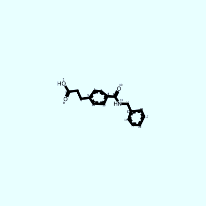 O=C(O)CCc1ccc(C(=O)NCc2ccccc2)cc1